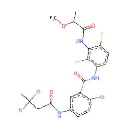 CC(OC(F)(F)F)C(=O)Nc1c(F)ccc(NC(=O)c2cc(NC(=O)CC(C)(Cl)Cl)ccc2Cl)c1F